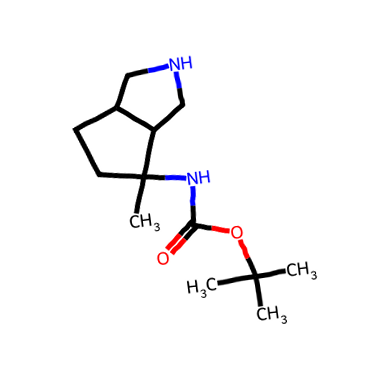 CC(C)(C)OC(=O)NC1(C)CCC2CNCC21